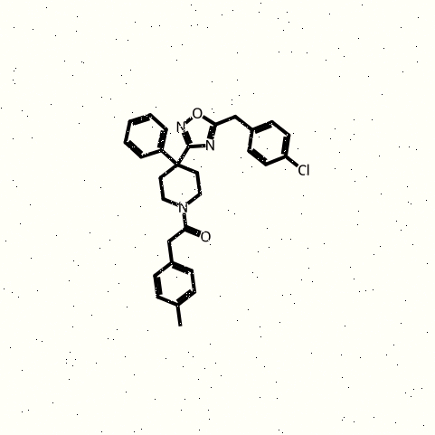 Cc1ccc(CC(=O)N2CCC(c3ccccc3)(c3noc(Cc4ccc(Cl)cc4)n3)CC2)cc1